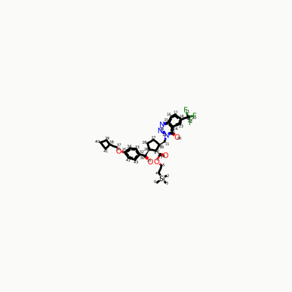 C[Si](C)(C)CCOC(=O)[C@H]1[C@H](Cn2nnc3ccc(C(F)(F)F)cc3c2=O)CC[C@@H]1C(=O)c1ccc(OCC2CCC2)cc1